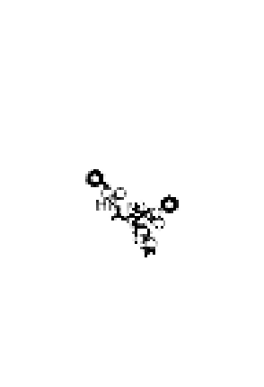 CC(=O)[C@H](CC(=O)OC(C)(C)C)N(C=O)C1(COc2ccccc2)CC(CC(C)CNC(=O)OCc2ccccc2)=NO1